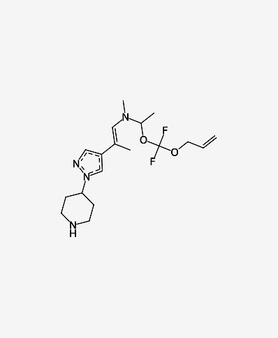 C=CCOC(F)(F)OC(C)N(C)/C=C(\C)c1cnn(C2CCNCC2)c1